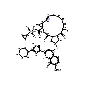 COc1ccc2c(OC3CC4C(=O)NC5(C(=O)NS(=O)(=O)C6CC6)CC5/C=C/CCCCN(C)C(=O)C4C3)cc(-c3csc(C4CCCCC4)n3)nc2c1C